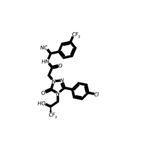 N#CC(NC(=O)Cn1nc(-c2ccc(Cl)cc2)n(C[C@H](O)C(F)(F)F)c1=O)c1cccc(C(F)(F)F)c1